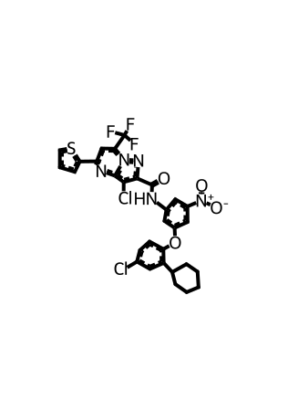 O=C(Nc1cc(Oc2ccc(Cl)cc2C2CCCCC2)cc([N+](=O)[O-])c1)c1nn2c(C(F)(F)F)cc(-c3cccs3)nc2c1Cl